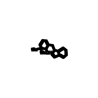 CC(C)(C)C1(C(C)(C)C)C=CC=C(CC2C=Cc3ccccc32)C1O